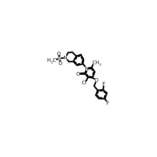 Cc1cc(OCc2ccc(F)cc2F)c(Cl)c(=O)n1-c1ccc2c(c1)CN(S(C)(=O)=O)CC2